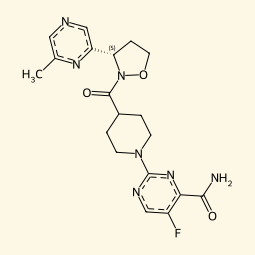 Cc1cncc([C@@H]2CCON2C(=O)C2CCN(c3ncc(F)c(C(N)=O)n3)CC2)n1